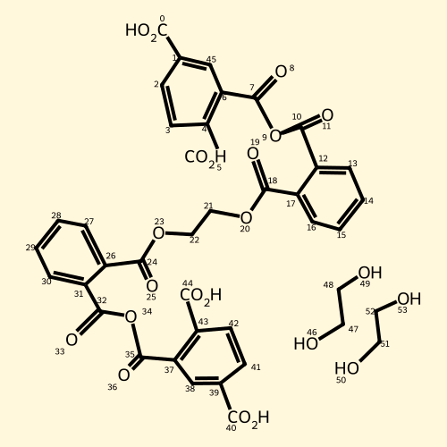 O=C(O)c1ccc(C(=O)O)c(C(=O)OC(=O)c2ccccc2C(=O)OCCOC(=O)c2ccccc2C(=O)OC(=O)c2cc(C(=O)O)ccc2C(=O)O)c1.OCCO.OCCO